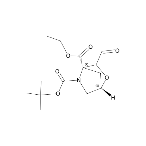 CCOC(=O)[C@]12C[C@@H](CN1C(=O)OC(C)(C)C)OC2C=O